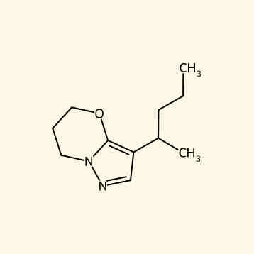 CCCC(C)c1cnn2c1OCCC2